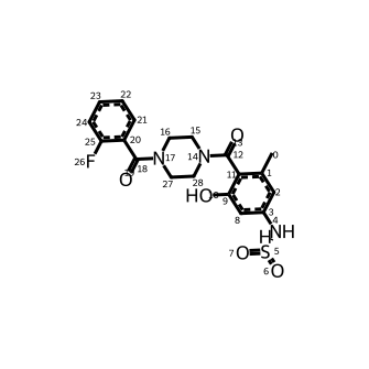 Cc1cc(N[SH](=O)=O)cc(O)c1C(=O)N1CCN(C(=O)c2ccccc2F)CC1